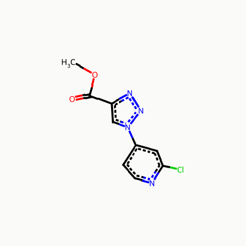 COC(=O)c1cn(-c2ccnc(Cl)c2)nn1